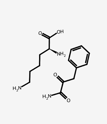 NC(=O)C(=O)Cc1ccccc1.NCCCC[C@H](N)C(=O)O